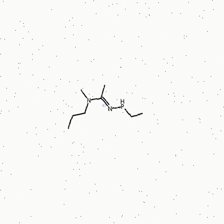 CCCN(C)/C(C)=N/PCC